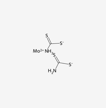 NC(=S)[S-].NC(=S)[S-].[Mo+2]